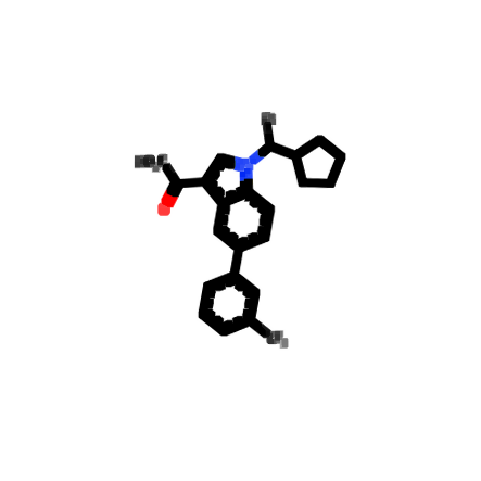 CCC(C1CCCC1)n1cc(C(=O)C(=O)O)c2cc(-c3cccc(C(F)(F)F)c3)ccc21